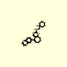 FC1(CNc2ncc3c(n2)CCCC=C3c2ccc3nccnc3c2)CCCCC1